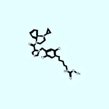 CC(C)(C)OC(=O)NCCCCCc1cc(Cl)c(CN2CSCC2C(=O)N2CCN(C3CC3)c3ccccc32)cc1Cl